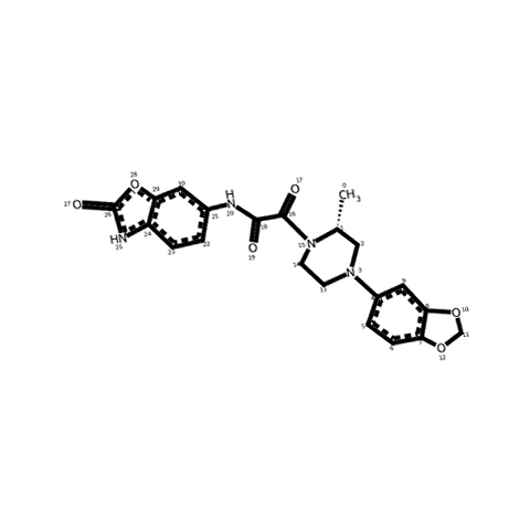 C[C@@H]1CN(c2ccc3c(c2)OCO3)CCN1C(=O)C(=O)Nc1ccc2[nH]c(=O)oc2c1